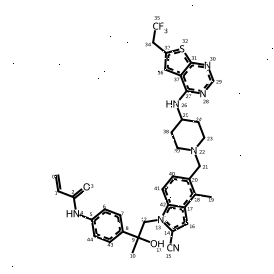 C=CC(=O)Nc1ccc(C(C)(O)Cn2c(C#N)cc3c(C)c(CN4CCC(Nc5ncnc6sc(CC(F)(F)F)cc56)CC4)ccc32)cc1